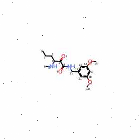 CCCC(NC)C(=O)C(=O)NCc1cc(OC)cc(OC)c1